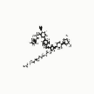 COCCOCCOCCOCCOc1nn(C2CCC(N3C[C@@H](C)O[C@@H](C)C3)CC2)cc1Nc1ncc(-c2ccc(C#N)c(O[C@@H](C)Cn3cncn3)c2)cn1